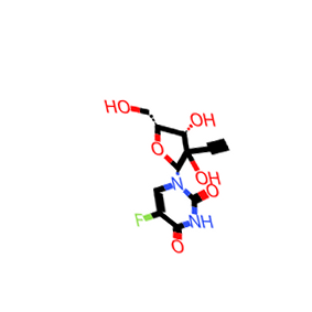 C#CC1(O)[C@@H](O)[C@@H](CO)O[C@H]1n1cc(F)c(=O)[nH]c1=O